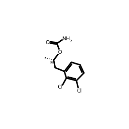 C[C@@H](Cc1cccc(Cl)c1Cl)OC(N)=O